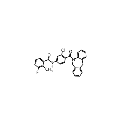 Cc1c(F)cccc1C(=O)Nc1ccc(C(=O)N2Cc3ccccc3Cc3ccccc32)c(Cl)c1